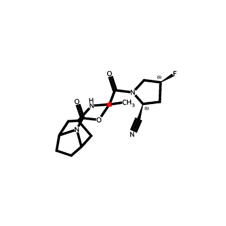 CCOC(=O)N1C2CCC1CC(NCC(=O)N1C[C@@H](F)C[C@H]1C#N)C2